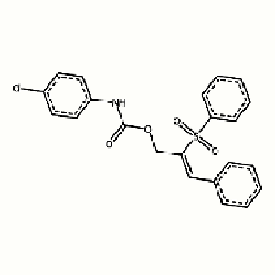 O=C(Nc1ccc(Cl)cc1)OCC(=Cc1ccccc1)S(=O)(=O)c1ccccc1